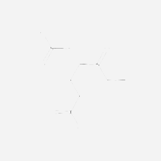 CCC(=O)[C@@H](CC(=O)O)[C@@H](C)CC(=O)O